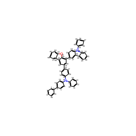 c1ccc(-c2ccc(N(c3ccccc3)c3ccc(-c4cc(-c5ccc6c(c5)c5ccccc5n6-c5ccccc5)c5oc6ccccc6c5c4)cc3)cc2)cc1